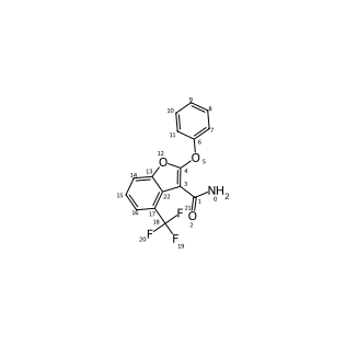 NC(=O)c1c(Oc2ccccc2)oc2cccc(C(F)(F)F)c12